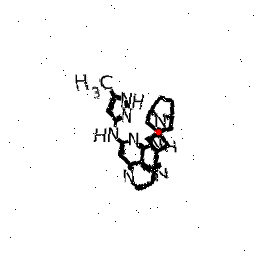 Cc1cc(Nc2cc3ncccc3c(NC3CC4CCC(C3)N4C3CC(C#N)C3)n2)n[nH]1